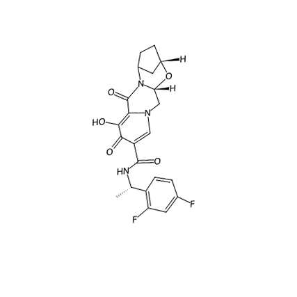 C[C@H](NC(=O)c1cn2c(c(O)c1=O)C(=O)N1C3CC[C@@H](C3)O[C@@H]1C2)c1ccc(F)cc1F